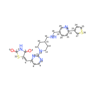 O=C1NC(=O)/C(=C\c2ccnc(N3CCC(CNCc4ccc(-c5ccsc5)nc4)CC3)n2)S1